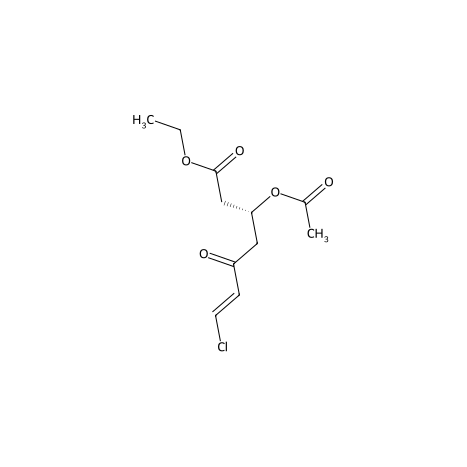 CCOC(=O)C[C@@H](CC(=O)C=CCl)OC(C)=O